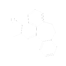 CC(C=C1c2ccccc2CCc2ccccc21)CN